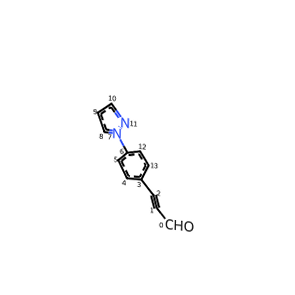 O=CC#Cc1ccc(-n2cccn2)cc1